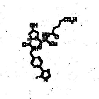 Cc1ncsc1-c1ccc(CNC(=O)[C@@H]2CC(O)CN2C(=O)[C@@H](NC(=O)CCCC(=O)O)C(C)(C)C)cc1